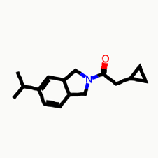 CC(C)C1=CC2CN(C(=O)CC3CC3)CC2C=C1